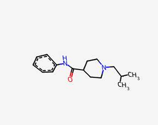 C[C](C)CN1CCC(C(=O)Nc2ccccc2)CC1